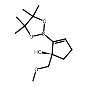 COC[C@@]1(O)CCC=C1B1OC(C)(C)C(C)(C)O1